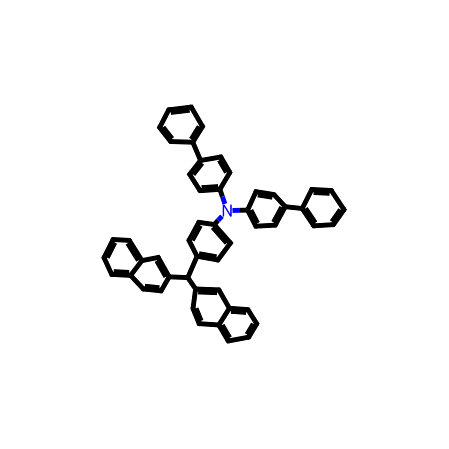 c1ccc(-c2ccc(N(c3ccc(-c4ccccc4)cc3)c3ccc(C(c4ccc5ccccc5c4)c4ccc5ccccc5c4)cc3)cc2)cc1